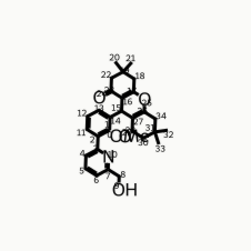 COc1c(-c2cccc(CO)n2)cccc1C1C2=C(CC(C)(C)CC2=O)OC2=C1C(=O)CC(C)(C)C2